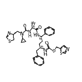 CC(C)[C@H](NC(=O)N(CC1CSC=N1)C1CC1)C(=O)N[C@H](CC[C@H](Cc1ccccc1)NC(=O)OCc1cncs1)c1ccccc1